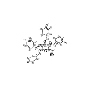 BrC[C@H]1O[C@H](OCc2ccccc2)[C@H](OCc2ccccc2)[C@@H](OCc2ccccc2)[C@@H]1OCc1ccccc1